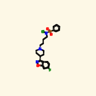 O=S(=O)(c1ccccc1)N(Cl)CCCCN1CCC(c2noc3cc(F)ccc23)CC1